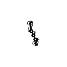 C=C(C)C(=O)OCCOc1ccc(-c2ccc(-c3ccc(OC(=O)C(=C)C)c(F)c3)cc2F)cc1C